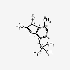 CC1=Cc2c(C[Si](C)(C)C)ccc(C)c2[CH]1[Zr]